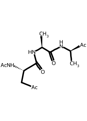 CC(=O)C[C@H](NC(C)=O)C(=O)N[C@@H](C)C(=O)N[C@H](C)C(C)=O